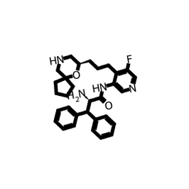 N[C@H](C(=O)Nc1cncc(F)c1CCC[C@@H]1CNCC2(CCCC2)O1)C(c1ccccc1)c1ccccc1